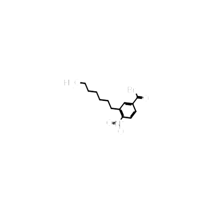 CCCCCCCc1cc(C(=O)Br)ccc1[N+](=O)[O-]